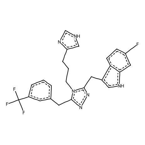 Fc1ccc2c(Cc3nnc(Cc4cccc(C(F)(F)F)c4)n3CCCc3c[nH]cn3)c[nH]c2c1